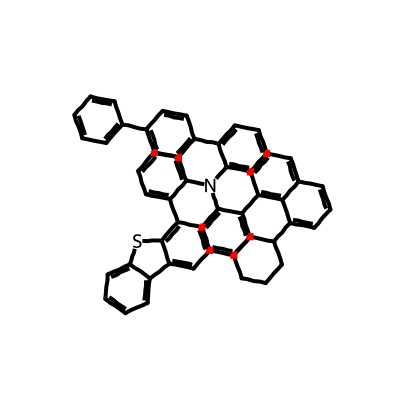 c1ccc(-c2ccc(-c3ccccc3N(c3ccccc3-c3cccc4c3sc3ccccc34)c3ccccc3-c3cccc4cccc(C5CCCCC5)c34)cc2)cc1